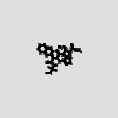 CCC(C)(C)NC(=O)C(c1ccc2ncccc2c1)N(Cc1ccco1)C(=O)c1snc(C(N)=O)c1N